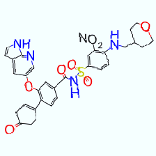 O=C1CC=C(c2ccc(C(=O)NS(=O)(=O)c3ccc(NCC4CCOCC4)c([N+](=O)[O-])c3)cc2Oc2cnc3[nH]ccc3c2)CC1